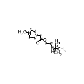 CN1CCN(CC(=O)OCCNC(C)(C)C)CC1